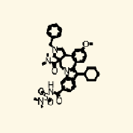 COc1ccc2c(c1)C1CN(Cc3ccccc3)CC1(C(=O)N(C)C)Cn1c-2c(C2CCCCC2)c2ccc(C(=O)NS(=O)(=O)N(C)C)cc21